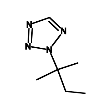 CCC(C)(C)n1ncnn1